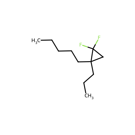 CCCCCC1(CCC)CC1(F)F